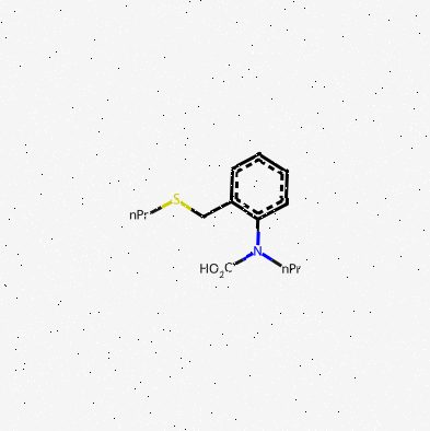 CCCSCc1ccccc1N(CCC)C(=O)O